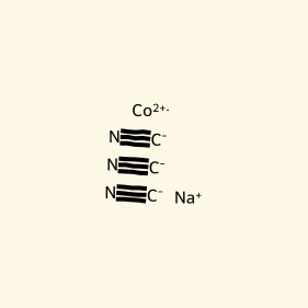 [C-]#N.[C-]#N.[C-]#N.[Co+2].[Na+]